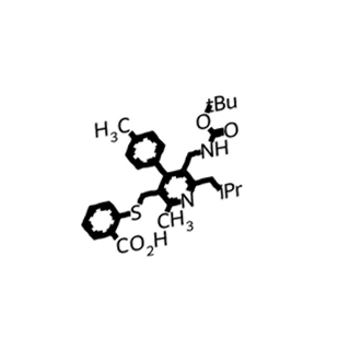 Cc1ccc(-c2c(CSc3ccccc3C(=O)O)c(C)nc(CC(C)C)c2CNC(=O)OC(C)(C)C)cc1